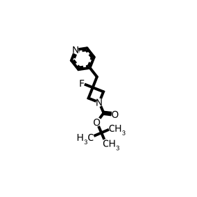 CC(C)(C)OC(=O)N1CC(F)(Cc2ccncc2)C1